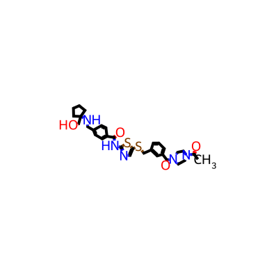 CC(=O)N1CCN(C(=O)c2cccc(CSc3cnc(NC(=O)c4ccc(CNC5(CO)CCCC5)cc4)s3)c2)CC1